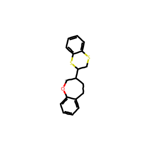 [C]1Oc2ccccc2CCC1C1CSc2ccccc2S1